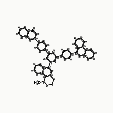 CC1CCCc2cc(-c3cc(-c4ccc(-c5cc6ccccc6c6ccccc56)cc4)nc(-c4ccc(-c5cnc6ccccc6c5)cc4)n3)c3ccccc3c21